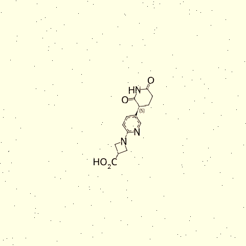 O=C1CC[C@@H](c2ccc(N3CC(C(=O)O)C3)nc2)C(=O)N1